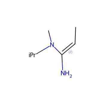 C/C=C(/N)N(C)C(C)C